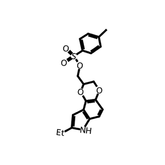 CCc1cc2c3c(ccc2[nH]1)OCC(COS(=O)(=O)c1ccc(C)cc1)O3